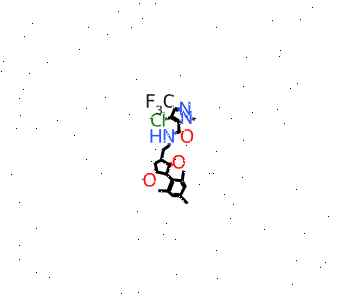 Cc1cc(C)c(C2C(=O)CC(CCNC(=O)c3c(Cl)c(C(F)(F)F)nn3C)C2=O)c(C)c1